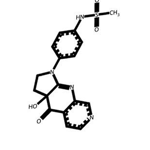 CS(=O)(=O)Nc1ccc(N2CCC3(O)C(=O)c4ccncc4N=C23)cc1